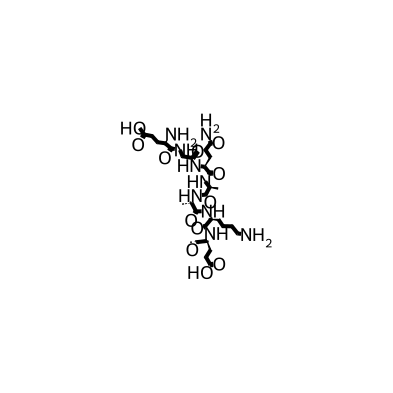 C[C@H](NC(=O)[C@H](C)NC(=O)[C@H](CCC(N)=O)NC(=O)CNC(=O)[C@@H](N)CCC(=O)O)C(=O)N[C@@H](CCCCN)C(=O)N[C@H]([C]=O)CCC(=O)O